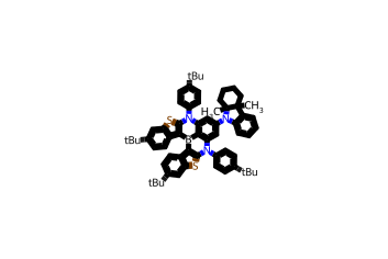 CC(C)(C)c1ccc(N2c3cc(N4c5ccccc5C5(C)CCCCC45C)cc4c3B(c3c2sc2cc(C(C)(C)C)ccc32)c2c(sc3cc(C(C)(C)C)ccc23)N4c2ccc(C(C)(C)C)cc2)cc1